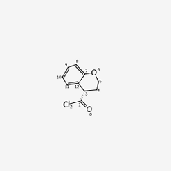 O=C(Cl)[C@H]1CCOc2ccccc21